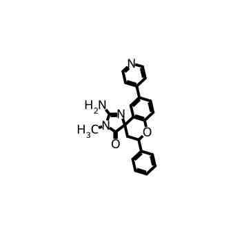 CN1C(=O)C2(CC(c3ccccc3)Oc3ccc(-c4ccncc4)cc32)N=C1N